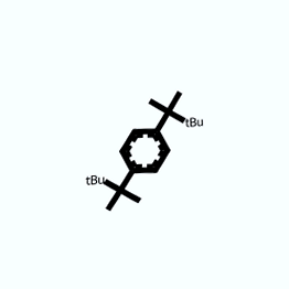 CC(C)(C)C(C)(C)c1ccc(C(C)(C)C(C)(C)C)cc1